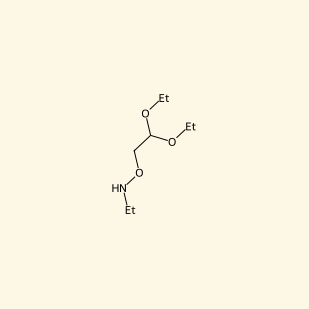 CCNOCC(OCC)OCC